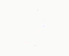 COC(=O)C(C)(C)COc1cc(CBr)ccn1